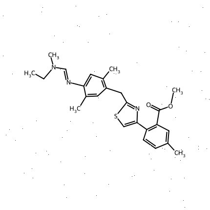 CCN(C)C=Nc1cc(C)c(Cc2nc(-c3ccc(C)cc3C(=O)OC)cs2)cc1C